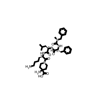 CC(C)C[C@@H](NC(=O)[C@@H](Cc1ccccc1)NC(=O)N(C)Cc1ccccc1)C(=O)N[C@H](CCCCN)C(=O)N1CCC(N)(C(=O)O)CC1